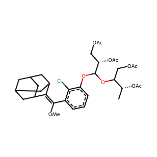 COC(=C1C2CC3CC(C2)CC1C3)c1cccc(OC(OC(COC(C)=O)[C@@H](C)OC(C)=O)[C@H](COC(C)=O)OC(C)=O)c1Cl